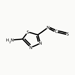 Nc1nnc(N=C=S)s1